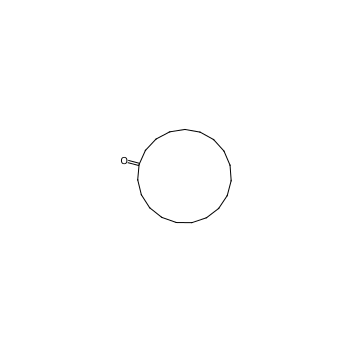 O=C1CCCCCCCCCCCCCCCCCC1